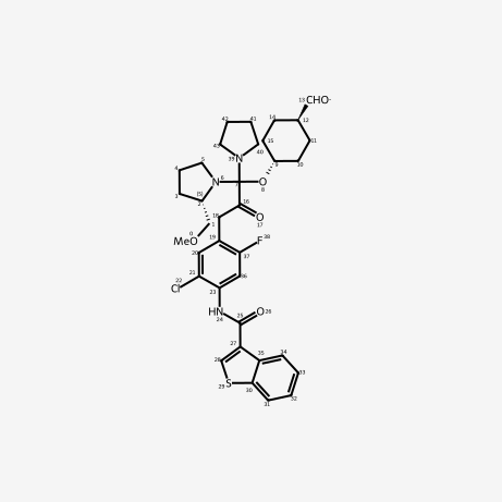 COC[C@@H]1CCCN1C(O[C@H]1CC[C@H]([C]=O)CC1)(C(=O)Cc1cc(Cl)c(NC(=O)c2csc3ccccc23)cc1F)N1CCCC1